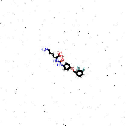 NCCCC[C@H](NC(=O)Nc1ccc(OCc2cccc(F)c2F)cc1)C(=O)O